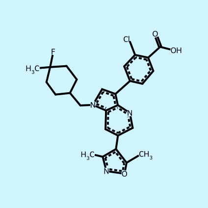 Cc1noc(C)c1-c1cnc2c(-c3ccc(C(=O)O)c(Cl)c3)cn(CC3CCC(C)(F)CC3)c2c1